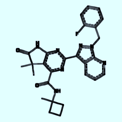 CC1(NC(=O)c2nc(-c3nn(Cc4ccccc4F)c4ncccc34)nc3c2C(C)(C)C(=O)N3)CCC1